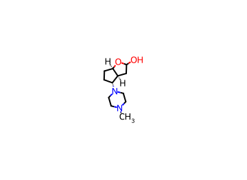 CN1CCN([C@@H]2CC[C@H]3OC(O)C[C@@H]23)CC1